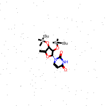 C=C1O[C@@H](n2ccc(=O)[nH]c2=O)C(O[Si](C)(C)C(C)(C)C)C1O[Si](C)(C)C(C)(C)C